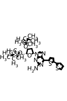 CC(C)(C)[Si](C)(C)OC[C@H]1O[C@@H](n2cnc3c(-c4ccc(-c5cccs5)s4)nc(N)nc32)C[C@@H]1O[Si](C)(C)C(C)(C)C